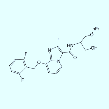 CCCOCC(CO)NC(=O)c1c(C)nc2c(OCc3c(F)cccc3F)cccn12